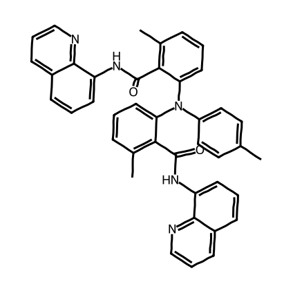 Cc1ccc(N(c2cccc(C)c2C(=O)Nc2cccc3cccnc23)c2cccc(C)c2C(=O)Nc2cccc3cccnc23)cc1